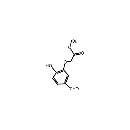 CC(C)(C)OC(=O)COc1cc(C=O)ccc1O